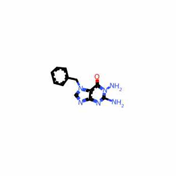 Nc1nc2ncn(Cc3ccccc3)c2c(=O)n1N